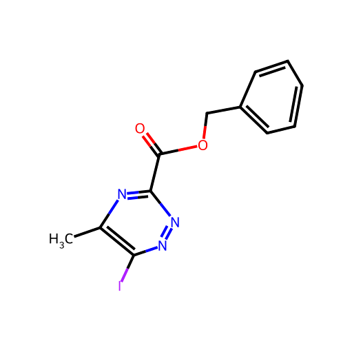 Cc1nc(C(=O)OCc2ccccc2)nnc1I